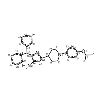 CC(C)Oc1ccc(N2CCC(c3cc(N)n(C(c4ccccc4)c4ccccc4)n3)CC2)cn1